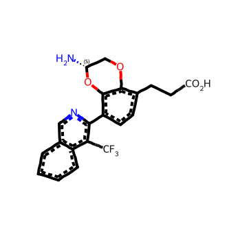 N[C@@H]1COc2c(CCC(=O)O)ccc(-c3ncc4ccccc4c3C(F)(F)F)c2O1